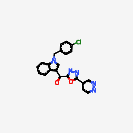 O=C(c1nnc(-c2ccnnc2)o1)c1cn(Cc2ccc(Cl)cc2)c2ccccc12